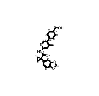 Cc1cc(NC(=O)C2(c3ccc4c(c3)OCO4)CC2)ncc1-c1ccc(CO)cc1